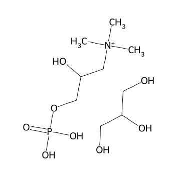 C[N+](C)(C)CC(O)COP(=O)(O)O.OCC(O)CO